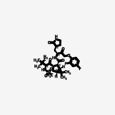 CC(C)(C)[C@H](NS(C)(=O)=O)C(=O)N1C[C@H]2[C@@H]([C@H]1C(=O)N[C@@H](C[C@@H]1CCNC1=O)C(=O)COc1ccc(F)cc1F)C2(C)C